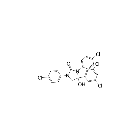 O=C1N(c2ccc(Cl)cc2)CC(O)(c2cc(Cl)cc(Cl)c2)N1c1ccc(Cl)cc1